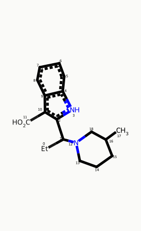 CCC(c1[nH]c2ccccc2c1C(=O)O)N1CCCC(C)C1